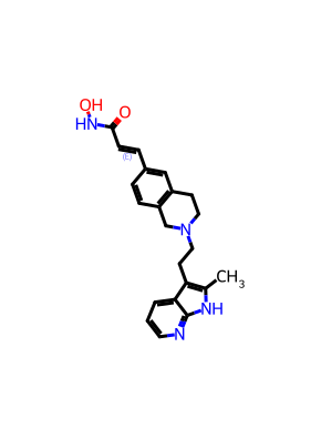 Cc1[nH]c2ncccc2c1CCN1CCc2cc(/C=C/C(=O)NO)ccc2C1